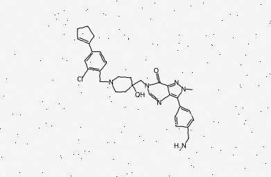 Cn1nc2c(=O)n(CC3(O)CCN(Cc4ccc(C5=CCCC5)cc4Cl)CC3)cnc2c1-c1ccc(CN)cc1